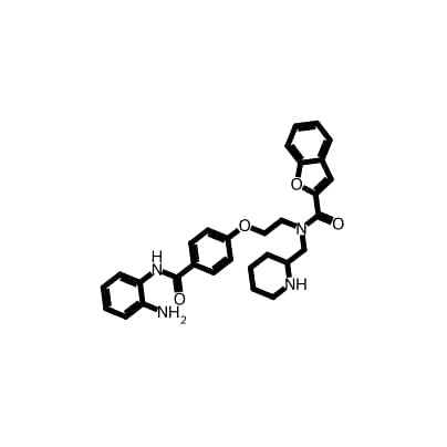 Nc1ccccc1NC(=O)c1ccc(OCCN(CC2CCCCN2)C(=O)c2cc3ccccc3o2)cc1